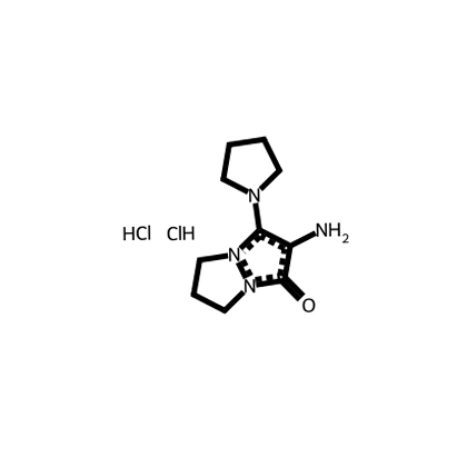 Cl.Cl.Nc1c(N2CCCC2)n2n(c1=O)CCC2